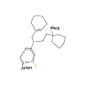 CCCCCCc1ccc(C(CCC2(CCCCC)CCCCC2)CC2=CCCCC2)cc1F